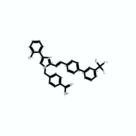 O=C(O)c1ccc(Cn2cc(-c3ccccc3Cl)nc2/C=C/c2ccc(-c3cccc(C(F)(F)F)c3)cc2)cc1